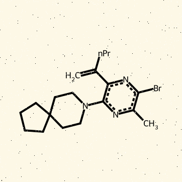 C=C(CCC)c1nc(Br)c(C)nc1N1CCC2(CCCC2)CC1